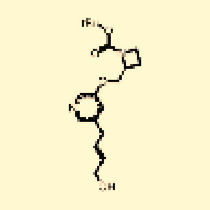 CC(C)(C)OC(=O)N1CC[C@H]1COc1cncc(C/C=C/CO)c1